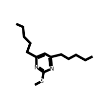 CCCCCc1cc(CCCCC)nc(SC)n1